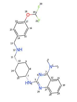 CN(C)c1nc(N[C@H]2CC[C@@H](CNCc3ccc(OC(F)F)cc3)CC2)nc2ccccc12